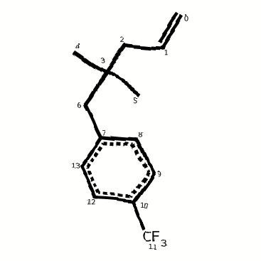 [CH]=CCC(C)(C)Cc1ccc(C(F)(F)F)cc1